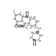 COc1cc(C)cc2c1C(C)(C)c1cc(CN3CCNCC3)ccc1N2